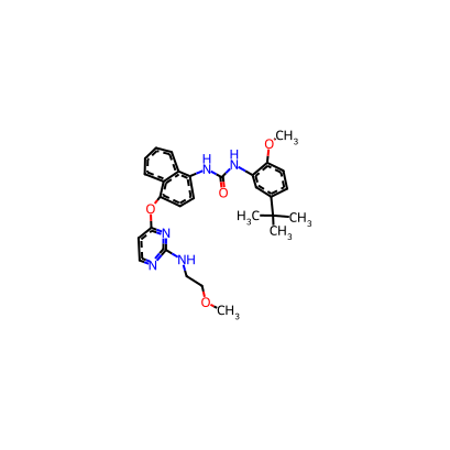 COCCNc1nccc(Oc2ccc(NC(=O)Nc3cc(C(C)(C)C)ccc3OC)c3ccccc23)n1